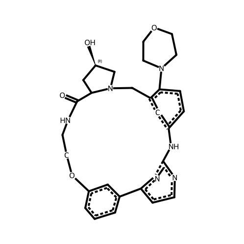 O=C1NCCOc2cccc(c2)-c2ccnc(n2)Nc2ccc(N3CCOCC3)c(c2)CN2C[C@H](O)CC12